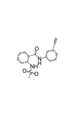 C#Cc1cccc(NC(=O)c2ccccc2NS(C)(=O)=O)c1